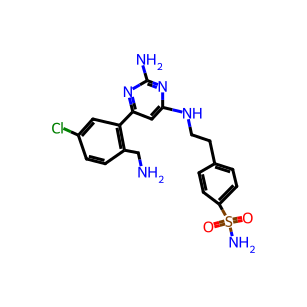 NCc1ccc(Cl)cc1-c1cc(NCCc2ccc(S(N)(=O)=O)cc2)nc(N)n1